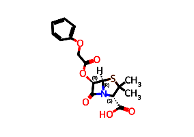 CC1(C)S[C@@H]2[C@H](OC(=O)COc3ccccc3)C(=O)N2[C@H]1C(=O)O